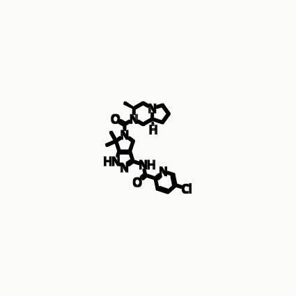 C[C@H]1CN2CCC[C@H]2CN1C(=O)N1Cc2c(NC(=O)c3ccc(Cl)cn3)n[nH]c2C1(C)C